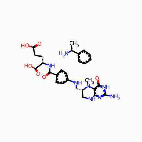 CC(N)c1ccccc1.CN1c2c(nc(N)[nH]c2=O)NC[C@@H]1CNc1ccc(C(=O)N[C@@H](CCC(=O)O)C(=O)O)cc1